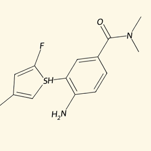 CN(C)C(=O)c1ccc(N)c([SH]2C=C(F)C=C2F)c1